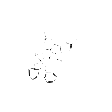 CC[C@@]1(CO[Si](c2ccccc2)(c2ccccc2)C(C)(C)C)OC(OC(C)=O)[C@H](OC(C)=O)[C@@H]1OP